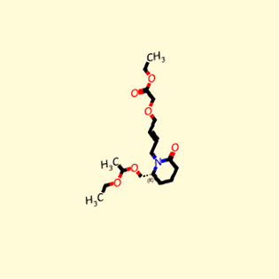 CCOC(=O)COCC=CCN1C(=O)CCC[C@@H]1COC(C)OCC